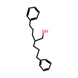 OCC(CCCc1ccccc1)CCCc1ccccc1